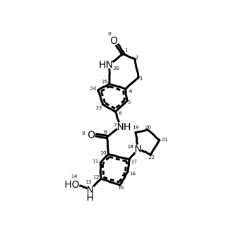 O=C1CCc2cc(NC(=O)c3cc(NO)ccc3N3CCCC3)ccc2N1